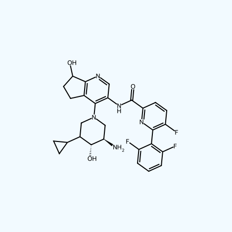 N[C@@H]1CN(c2c(NC(=O)c3ccc(F)c(-c4c(F)cccc4F)n3)cnc3c2CCC3O)CC(C2CC2)[C@H]1O